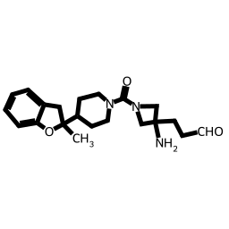 CC1(C2CCN(C(=O)N3CC(N)(CCC=O)C3)CC2)Cc2ccccc2O1